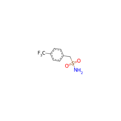 NS(=O)(=O)Cc1ccc(C(F)(F)F)cc1